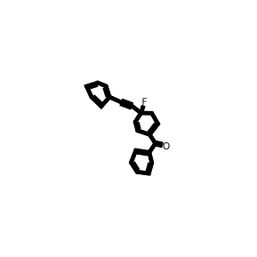 O=C(C1=CCC(F)(C#Cc2ccccc2)C=C1)c1ccccc1